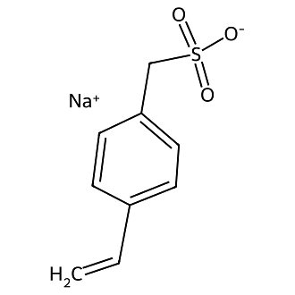 C=Cc1ccc(CS(=O)(=O)[O-])cc1.[Na+]